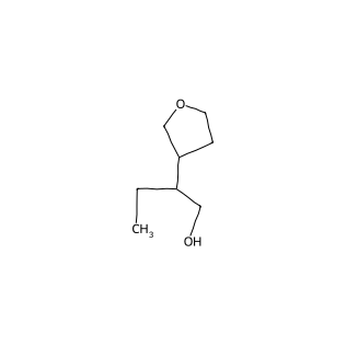 CCC(CO)C1CCOC1